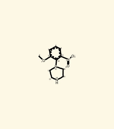 COc1cccc([N+](=O)[O-])c1N1CCNCC1